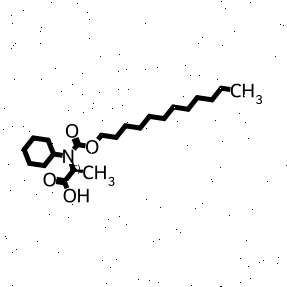 CCCCCCCCCCCCOC(=O)N(C1CCCCC1)[C@@H](C)C(=O)O